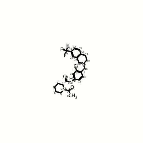 CC(=O)N1CCCC[C@@H]1C(=O)Nc1ccc(CN2CCc3ccc(C(F)(F)F)cc3C2)c(Cl)c1